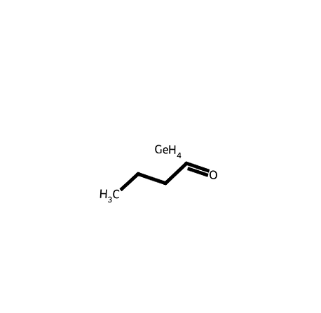 CCCC=O.[GeH4]